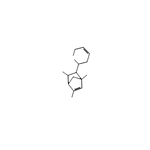 CC1=CC2(C)CC1C(C)C2C1CC=CCO1